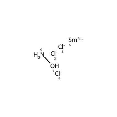 NO.[Cl-].[Cl-].[Cl-].[Sm+3]